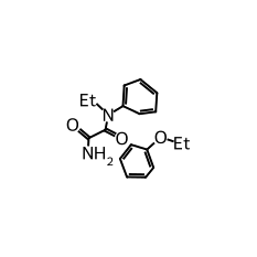 CCN(C(=O)C(N)=O)c1ccccc1.CCOc1ccccc1